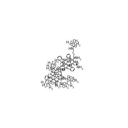 COC(=O)[C@H](COC(C)(C)C)NC(=O)[C@@H](NC(=O)[C@H](Cc1ccccc1)NC(=O)[C@@H](NC(=O)[C@H](CCCCNC(=O)OC(C)(C)C)NC(=O)[C@H](Cc1c[nH]c2ccccc12)NC(=O)[C@H](Cc1ccccc1)NC(=O)[C@H](Cc1ccccc1)NC(=O)[C@H](CC(N)=O)NC(=O)[C@@H](N)CCCCNC(=O)OC(C)(C)C)[C@@H](C)OC(C)(C)C)[C@@H](C)OC(C)(C)C